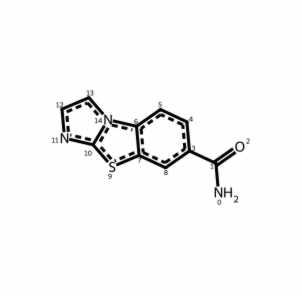 NC(=O)c1ccc2c(c1)sc1nccn12